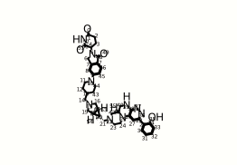 O=C1CCC(N2Cc3cc(N4CCC(CN5C[C@@H]6[C@H](C5)[C@H]6CN5CCN6c7cc(-c8ccccc8O)nnc7NC[C@H]6C5)CC4)ccc3C2=O)C(=O)N1